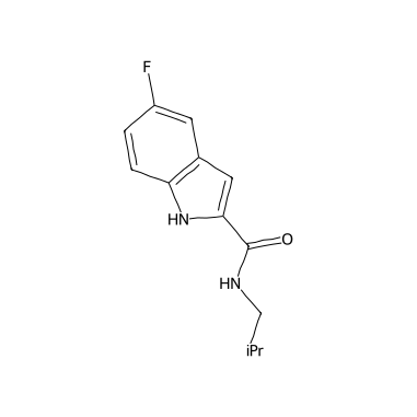 CC(C)CNC(=O)c1cc2cc(F)ccc2[nH]1